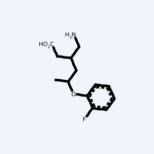 CC(CC(CN)CC(=O)O)Oc1ccccc1F